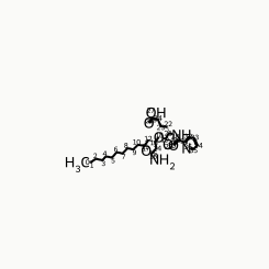 CCCCCCCCCCCCC[C@@H](CC(N)=O)OC(=O)[C@H](CCCC(=O)O)NC(=O)c1ccccn1